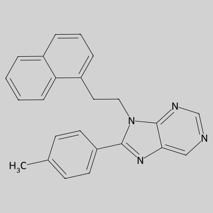 Cc1ccc(-c2nc3cncnc3n2CCc2cccc3ccccc23)cc1